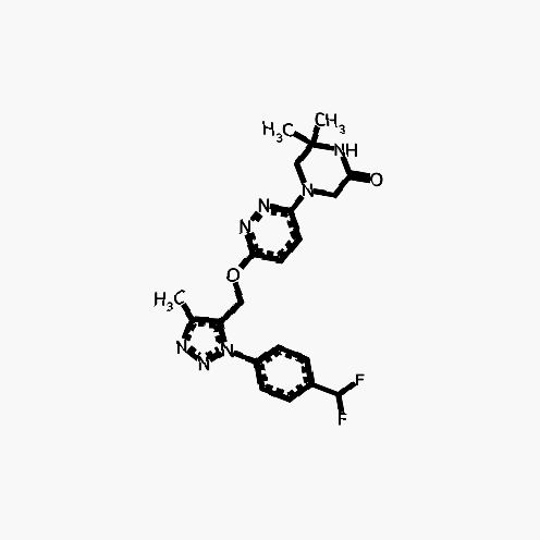 Cc1nnn(-c2ccc(C(F)F)cc2)c1COc1ccc(N2CC(=O)NC(C)(C)C2)nn1